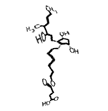 CCCCC(C)[C@H](O)/C=C/[C@@H]1[C@@H](C/C=C\CCCCOC(=O)CCC(=O)O)[C@@H](O)C[C@H]1O